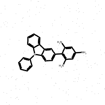 Nc1cc(N)c(-c2ccc3c(c2)c2ccccc2n3-c2ccccc2)c(N)c1